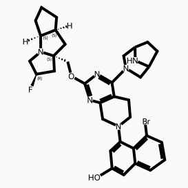 Oc1cc(N2CCc3c(nc(OC[C@]45C[C@@H](F)CN4[C@H]4CCC[C@H]4C5)nc3N3CC4CCC(C3)N4)C2)c2c(Br)cccc2c1